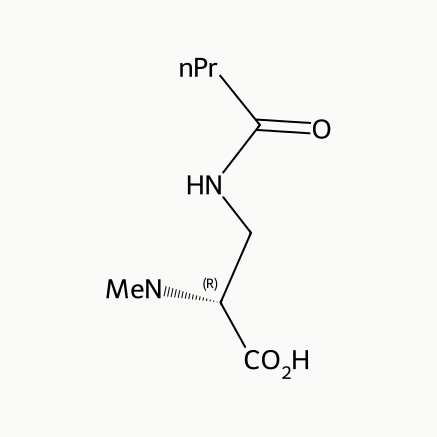 CCCC(=O)NC[C@@H](NC)C(=O)O